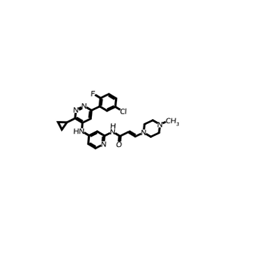 CN1CCN(C=CC(=O)Nc2cc(Nc3cc(-c4cc(Cl)ccc4F)nnc3C3CC3)ccn2)CC1